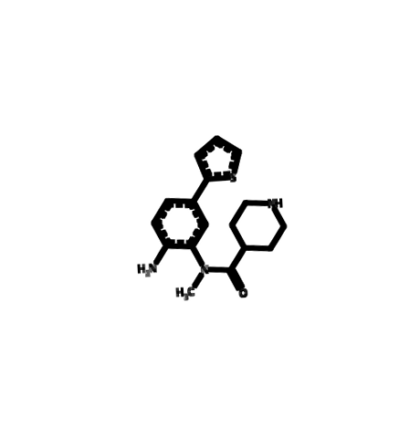 CN(C(=O)C1CCNCC1)c1cc(-c2cccs2)ccc1N